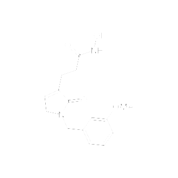 COc1cccc(CN2CC=C(CCC(=O)NO)C2=O)c1